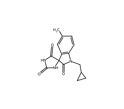 Cc1ccc2c(c1)C1(NC(=O)NC1=O)C(=O)N2CC1CC1